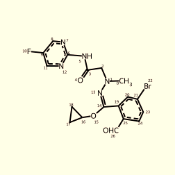 CN(CC(=O)Nc1ncc(F)cn1)/N=C(/OC1CC1)c1cc(Br)ccc1C=O